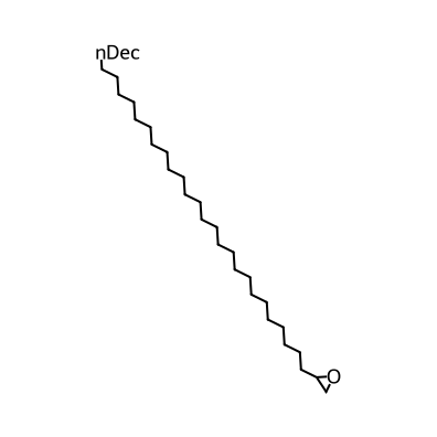 CCCCCCCCCCCCCCCCCCCCCCCCCCCCCCCCCCCC1CO1